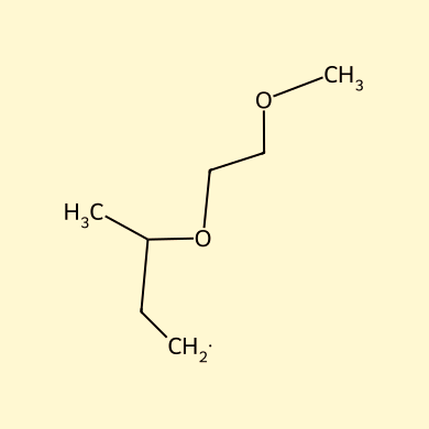 [CH2]CC(C)OCCOC